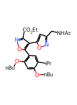 CCCCOc1cc(OCCCC)c(C(C)C)cc1-c1onc(C(=O)OCC)c1-c1cc(CNC(C)=O)no1